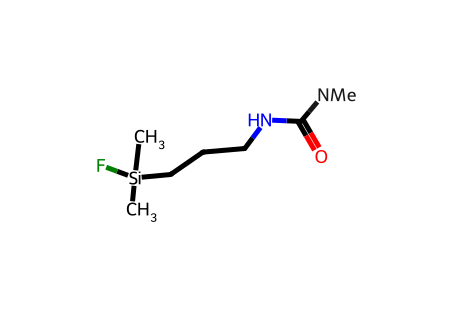 CNC(=O)NCCC[Si](C)(C)F